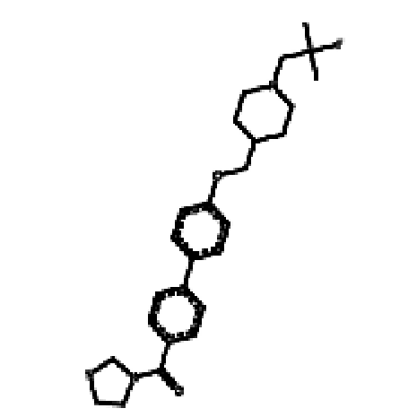 CC(C)(F)CN1CCC(COc2ccc(-c3ccc(C(=O)N4CCSC4)cc3)cc2)CC1